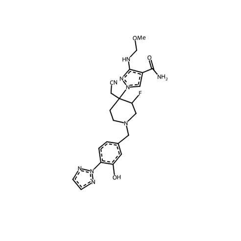 COCNc1nn(C2(CC#N)CCN(Cc3ccc(-n4nccn4)c(O)c3)CC2F)cc1C(N)=O